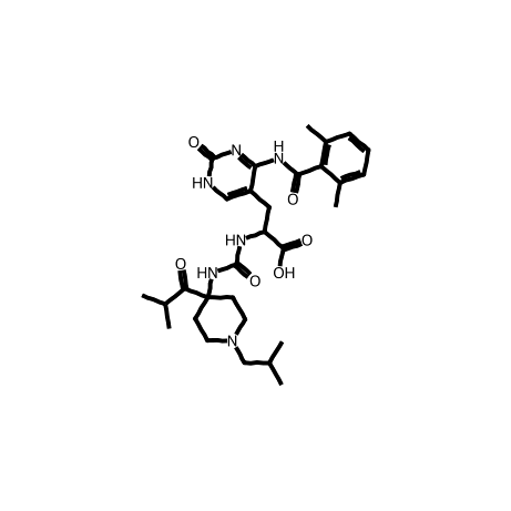 Cc1cccc(C)c1C(=O)Nc1nc(=O)[nH]cc1CC(NC(=O)NC1(C(=O)C(C)C)CCN(CC(C)C)CC1)C(=O)O